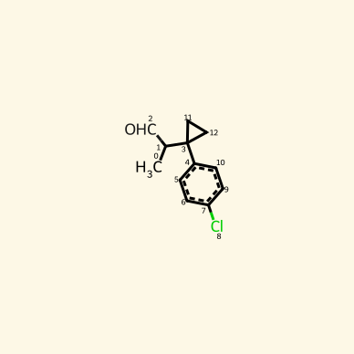 CC(C=O)C1(c2ccc(Cl)cc2)CC1